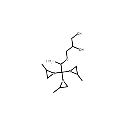 CC1CN1C(C(OCC(O)CO)C(=O)O)(N1CC1C)N1CC1C